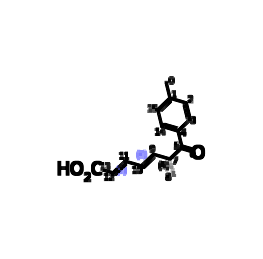 Cc1ccc(C(=O)[C@H](C)/C=C/C=C/C(=O)O)cc1